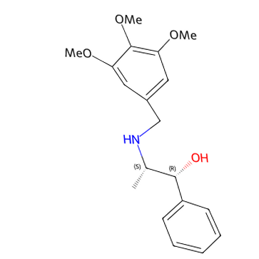 COc1cc(CN[C@@H](C)[C@H](O)c2ccccc2)cc(OC)c1OC